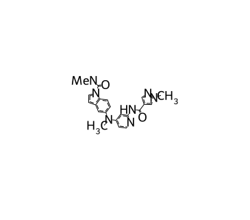 CNC(=O)n1ccc2cc(N(C)c3ccnc(NC(=O)c4cnn(C)c4)c3)ccc21